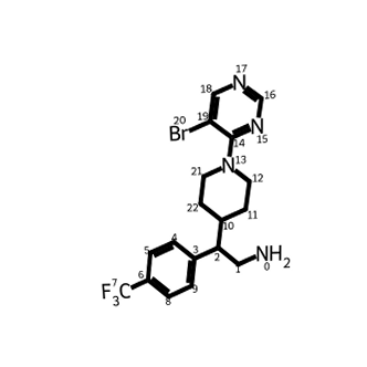 NCC(c1ccc(C(F)(F)F)cc1)C1CCN(c2ncncc2Br)CC1